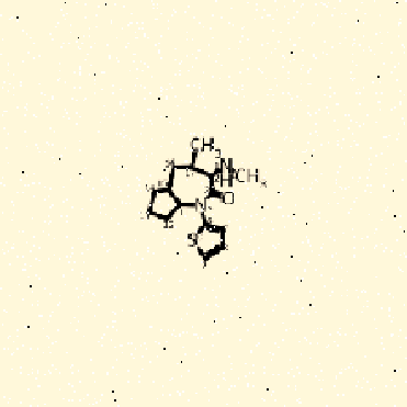 CNC1C(=O)N(c2cccs2)C2CCCC2CC1C